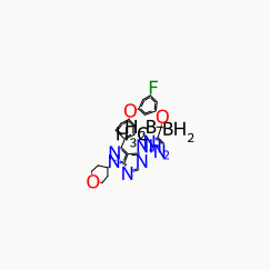 BC(B)(Oc1cc(F)cc(Oc2ccc(-c3nn(C4CCOCC4)c4ncnc(N)c34)cc2)c1)c1cncn1C